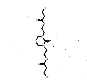 O=C(CCS)OCCN1COCN(CCOC(=O)CCS)C1=O